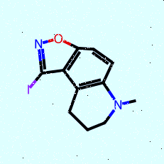 CN1CCCc2c1ccc1onc(I)c21